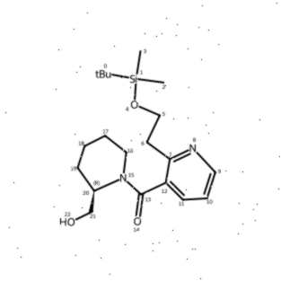 CC(C)(C)[Si](C)(C)OCCc1ncccc1C(=O)N1CCCC[C@@H]1CO